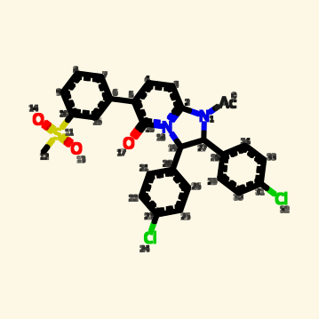 CC(=O)N1c2ccc(-c3cccc(S(C)(=O)=O)c3)c(=O)n2C(c2ccc(Cl)cc2)C1c1ccc(Cl)cc1